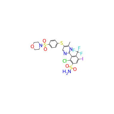 Cc1nc(-c2c(Cl)c(S(N)(=O)=O)cc(I)c2C(F)(F)F)ncc1Sc1ccc(S(=O)(=O)N2CCOCC2)cc1